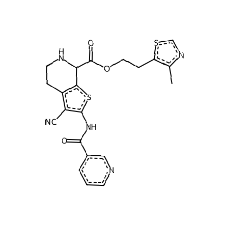 Cc1ncsc1CCOC(=O)C1NCCc2c1sc(NC(=O)c1cccnc1)c2C#N